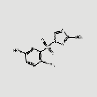 Cc1ccc(O)cc1S(=O)(=O)n1cnc([N+](=O)[O-])n1